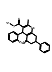 CCCOC(=O)C1=C(C)NC2=C(C(=O)CC(c3ccccc3)C2)C1c1ccccc1OC